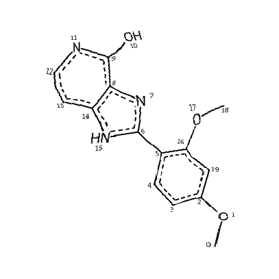 COc1ccc(-c2nc3c(O)nccc3[nH]2)c(OC)c1